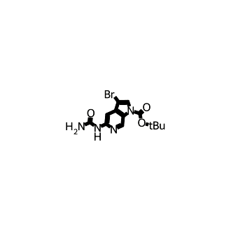 CC(C)(C)OC(=O)n1cc(Br)c2cc(NC(N)=O)ncc21